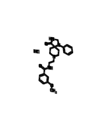 COc1cccc(C(=O)NCCN2CCC3(CC2)C(=O)NCN3c2ccccc2)c1.Cl